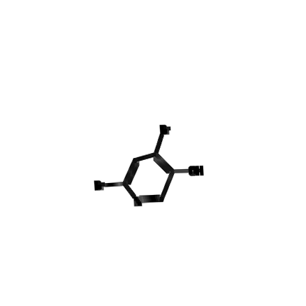 Oc1cnc(Br)cc1Br